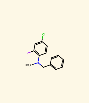 O=C(O)N(Cc1ccccc1)c1ccc(Cl)cc1I